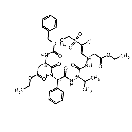 CCOC(=O)C[C@@H](/C=C(\Cl)S(=O)(=O)CC)NC(=O)[C@@H](NC(=O)[C@@H](NC(=O)[C@H](CC(=O)OCC)NC(=O)OCc1ccccc1)c1ccccc1)C(C)C